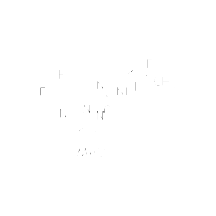 COCc1nn2c(CN3C[C@@H](CC(C)(F)F)NC3=O)c(C(F)F)nc2s1